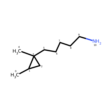 CC1CC1(C)CCCCCN